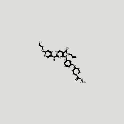 C=CCn1c(=O)c2cnc(Nc3ccc(OCCF)nc3)nc2n1-c1cccc(OC2CCN(C(=O)OC(C)(C)C)CC2)n1